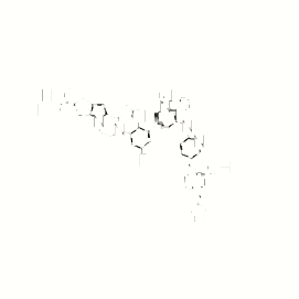 [CH2]c1c(-c2cc(Nc3ccc(N4CCN(C5COC5)C[C@@H]4C)cn3)c(=O)n(C)c2)cc(F)cc1N1CCn2c(cc3c2CC(C)(C)C3)C1=O